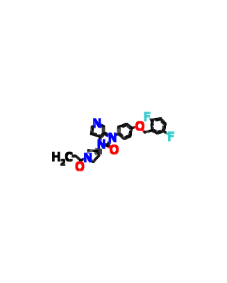 C=CC(=O)N1CC[C@@H](n2c(=O)n(-c3ccc(OCc4cc(F)ccc4F)cc3)c3cnccc32)C1